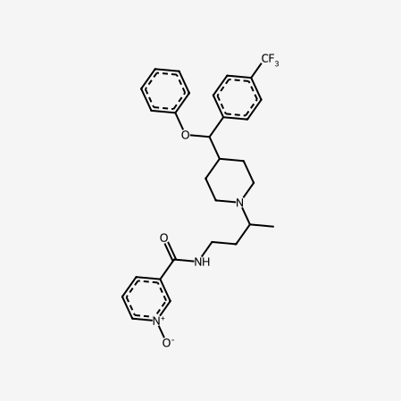 CC(CCNC(=O)c1ccc[n+]([O-])c1)N1CCC(C(Oc2ccccc2)c2ccc(C(F)(F)F)cc2)CC1